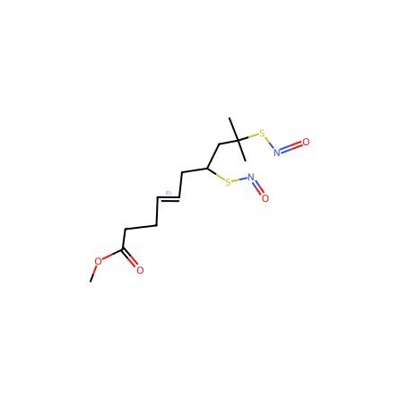 COC(=O)CC/C=C/CC(CC(C)(C)SN=O)SN=O